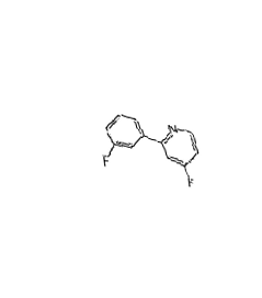 Fc1cccc(-c2cc(F)ccn2)c1